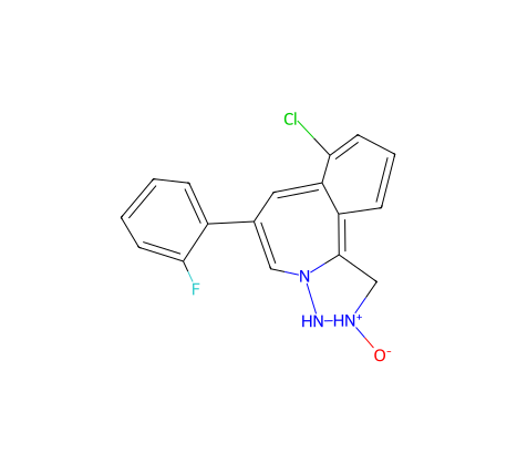 [O-][NH+]1CC2=c3cccc(Cl)c3=CC(c3ccccc3F)=CN2N1